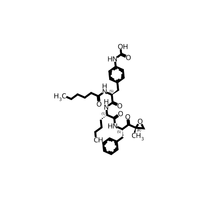 CCCCCC(=O)N[C@@H](Cc1ccc(NC(=O)O)cc1)C(=O)N[C@@H](CCCC)C(=O)N[C@@H](Cc1ccccc1)C(=O)[C@@]1(C)CO1